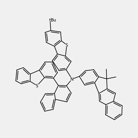 CC(C)(C)c1ccc2c(c1)sc1cc(N(c3ccc4c(c3)-c3cc5ccccc5cc3C4(C)C)c3ccc4ccccc4c3-c3cccc4c3sc3ccccc34)ccc12